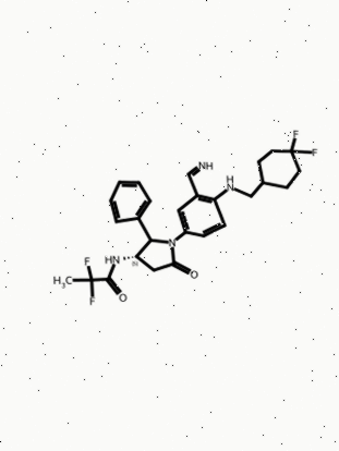 CC(F)(F)C(=O)N[C@H]1CC(=O)N(c2ccc(NCC3CCC(F)(F)CC3)c(C=N)c2)C1c1ccccc1